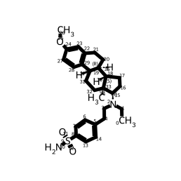 CCN(CCc1ccc(S(N)(=O)=O)cc1)[C@H]1CC[C@H]2[C@@H]3CCc4cc(OC)ccc4[C@H]3CC[C@]12C